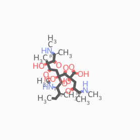 CC[C@H](C)[C@@H](NC)C(=O)C(O)(CC(=O)C(C)(O)C(=O)[C@@H](C)NC)C(=O)C(O)(CC(=O)[C@@H](C)NC)C(=O)O